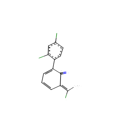 CN/C(Cl)=C1/C=CC=C(c2ccc(Cl)cc2Cl)C1=N